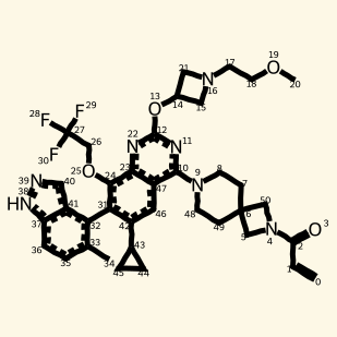 C=CC(=O)N1CC2(CCN(c3nc(OC4CN(CCOC)C4)nc4c(OCC(F)(F)F)c(-c5c(C)ccc6[nH]ncc56)c(C5CC5)cc34)CC2)C1